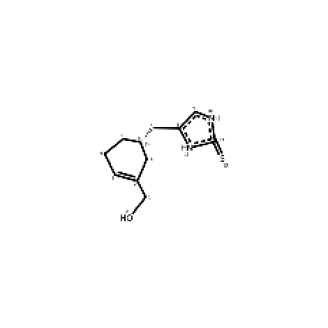 OCC1=CCC[C@H](Cc2c[nH]c(=S)[nH]2)C1